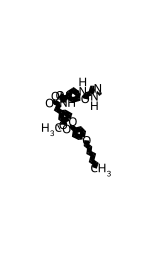 CCCCCCCOc1ccc(C(=O)Oc2ccc(CC(NC(=O)c3ccc(NC(=O)c4cnc[nH]4)cc3)C(=O)O)cc2OC)cc1